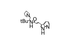 CC(C)(C)[C@@H](CN1CCCC1)NC(=O)/C=C/c1c[nH]c2ncccc12